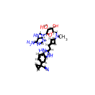 CN(C[C@H]1O[C@@H](N2CNC3C(N)=NC=NC32)[C@H](O)[C@@H]1O)C1CC(CCC2Nc3ccc(C4(C#N)CC4)cc3N2)C1